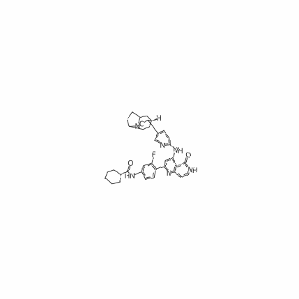 O=C(Nc1ccc(-c2cc(Nc3ccc(C4CN5C6CCC5C[C@@H]4CC6)cn3)c3c(=O)[nH]ccc3n2)c(F)c1)C1CCCCC1